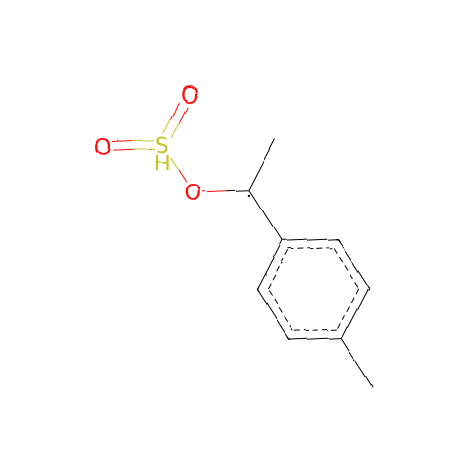 C[C](O[SH](=O)=O)c1ccc(C)cc1